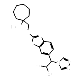 CCC(CC)C(c1ccc2nc(OCC3(C(=O)O)CCCCCC3)sc2c1)n1cnnc1